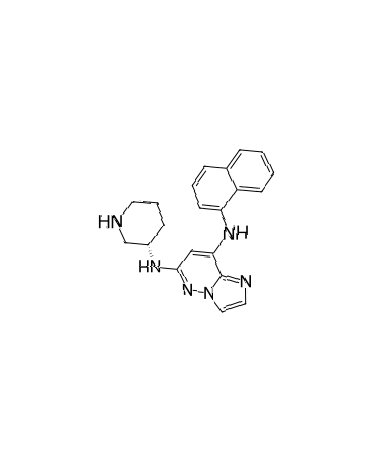 c1ccc2c(Nc3cc(N[C@H]4CCCNC4)nn4ccnc34)cccc2c1